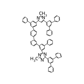 Cc1nc(-c2cc(-c3ccccc3)cc(-c3ccccc3)c2)cc(-c2cc(-c3ccccc3)cc(-c3ccc(-c4cccc(-c5cc(-c6ccccc6)cc(-c6nc(C)nc(-c7cc(-c8ccccc8)cc(-c8ccccc8)c7)n6)c5)c4)cc3)c2)n1